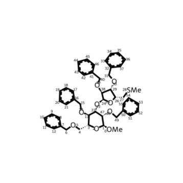 CO[C@H]1O[C@H](COCc2ccccc2)[C@@H](OCc2ccccc2)[C@H](O[C@@H]2O[C@@H](CSC)[C@@H](OCc3ccccc3)[C@@H]2OCc2ccccc2)[C@@H]1OCc1ccccc1